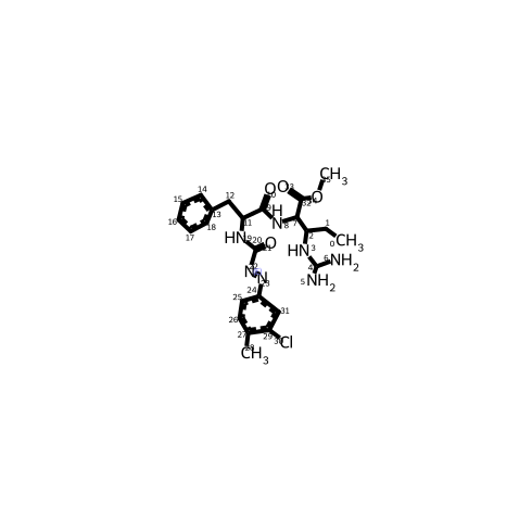 CCC(NC(N)N)C(NC(=O)C(Cc1ccccc1)NC(=O)/N=N/c1ccc(C)c(Cl)c1)C(=O)OC